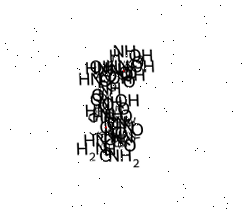 CC(C)C[C@H](NC(=O)[C@@H](N)CC(N)=O)C(=O)N[C@@H](CCCCN)C(=O)N1CCC[C@H]1C(=O)N[C@H](C(=O)N[C@H](C(=O)N[C@@H](C)C(=O)N[C@@H](CCC(=O)O)C(=O)N[C@@H](Cc1ccccc1)C(=O)N[C@@H](Cc1ccc(O)cc1)C(=O)NCC(=O)N[C@@H](CO)C(=O)N[C@@H](CCCCN)C(=O)N[C@@H](CCC(=O)O)C(=O)N[C@@H](CC(=O)O)C(=O)O)C(C)C)C(C)C